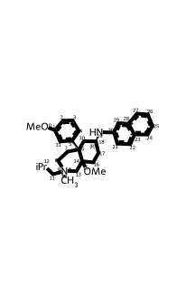 COc1cccc([C@]23CC[N@@+](C)(CC(C)C)CC2(OC)CC[C@@H](Nc2ccc4ccccc4c2)C3)c1